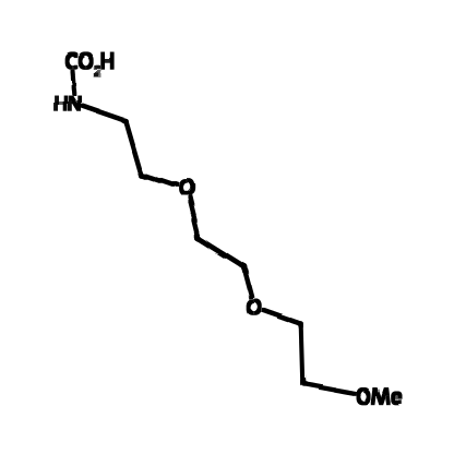 COCCOCCOCCNC(=O)O